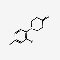 Cc1ccc(N2CCC(=O)CC2)c(F)c1